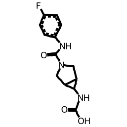 O=C(O)NC1C2CN(C(=O)Nc3ccc(F)cc3)CC21